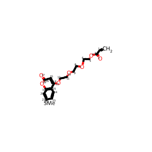 C=CC(=O)OCCOCCOCCOc1cc(=O)oc2cc(SC)ccc12